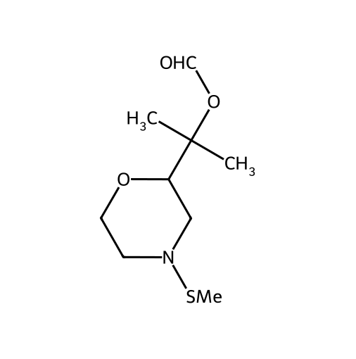 CSN1CCOC(C(C)(C)OC=O)C1